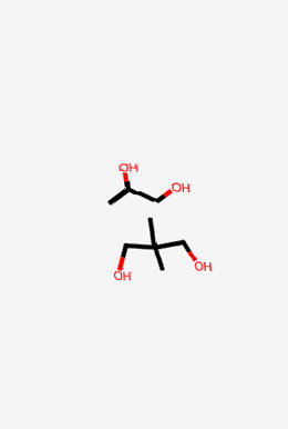 CC(C)(CO)CO.CC(O)CO